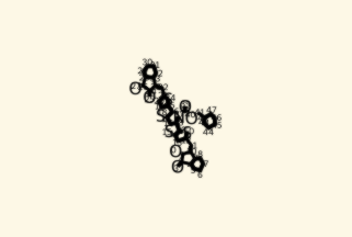 O=C1C(=O)c2ccccc2/C1=C/c1cc2sc3c4sc5cc(/C=C6\C(=O)C(=O)c7ccccc76)sc5c4n(C(=O)OCc4ccccc4)c3c2s1